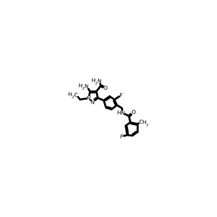 CCn1nc(-c2ccc(CNC(=O)c3cc(F)ccc3C)c(F)c2)c(C(N)=O)c1N